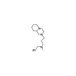 CC(C)CN(C)CCCN1CCN2CCCCC2C1